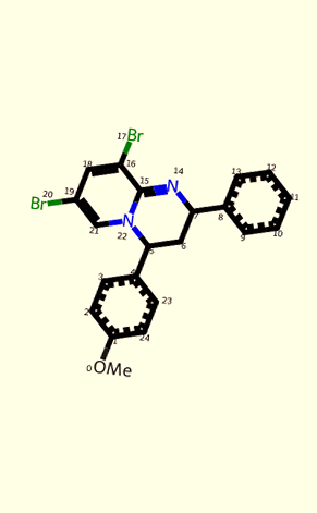 COc1ccc(C2CC(c3ccccc3)N=C3C(Br)=CC(Br)=CN32)cc1